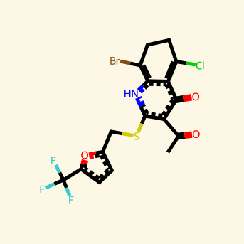 CC(=O)c1c(SCc2ccc(C(F)(F)F)o2)[nH]c2c(c1=O)=C(Cl)CCC=2Br